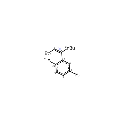 CC/C=C(/CCCC)c1cc(F)ccc1F